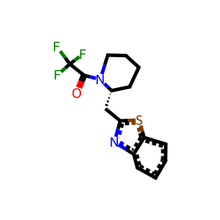 O=C(N1CCCC[C@@H]1Cc1nc2ccccc2s1)C(F)(F)F